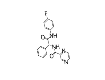 O=C(N[C@@H](C(=O)Nc1ccc(F)cc1)c1ccccc1)c1cnccn1